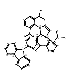 CC(C)c1cccc(C(C)C)c1N1C=CN(c2c(C(C)C)cccc2C(C)C)C1c1ccc(-n2c3ccccc3c3ccccc32)cc1